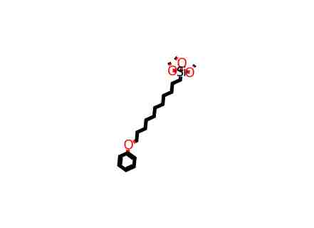 CO[Si](CCCCCCCCCCCOc1ccccc1)(OC)OC